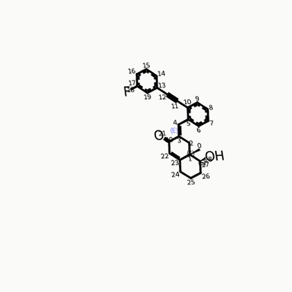 C[C@]12C/C(=C\c3ccccc3C#Cc3cccc(F)c3)C(=O)C=C1CCC[C@@H]2O